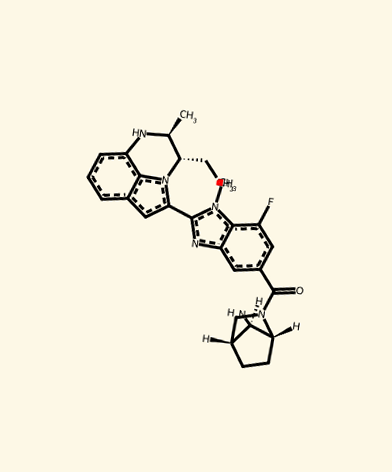 CC[C@H]1[C@H](C)Nc2cccc3cc(-c4nc5cc(C(=O)N6C[C@H]7CC[C@@H]6[C@@H]7N)cc(F)c5n4C)n1c23